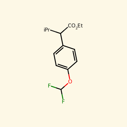 CCOC(=O)C(c1ccc(OC(F)F)cc1)C(C)C